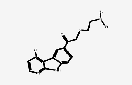 CCN(CC)CCSCC(=O)c1ccc2[nH]c3nccc(Cl)c3c2c1